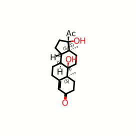 CC(=O)[C@]1(O)CC[C@H]2[C@@H]3CCC4=CC(=O)CC[C@]4(C)[C@@]3(O)CC[C@@]21C